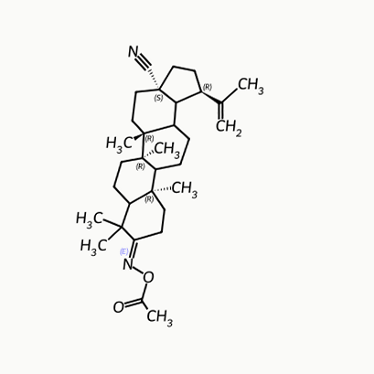 C=C(C)[C@@H]1CC[C@]2(C#N)CC[C@]3(C)C(CCC4[C@@]5(C)CC/C(=N\OC(C)=O)C(C)(C)C5CC[C@]43C)C12